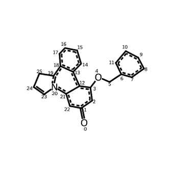 O=c1cc(OCc2ccccc2)c2c3ccccc3c3n(c-2c1)C=CC3